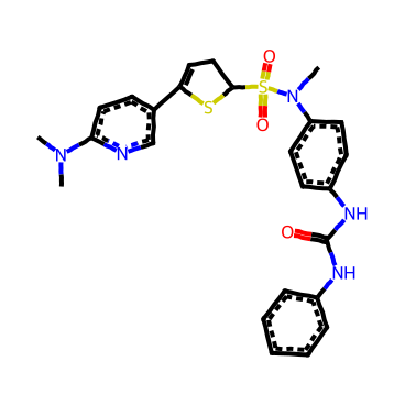 CN(C)c1ccc(C2=CCC(S(=O)(=O)N(C)c3ccc(NC(=O)Nc4ccccc4)cc3)S2)cn1